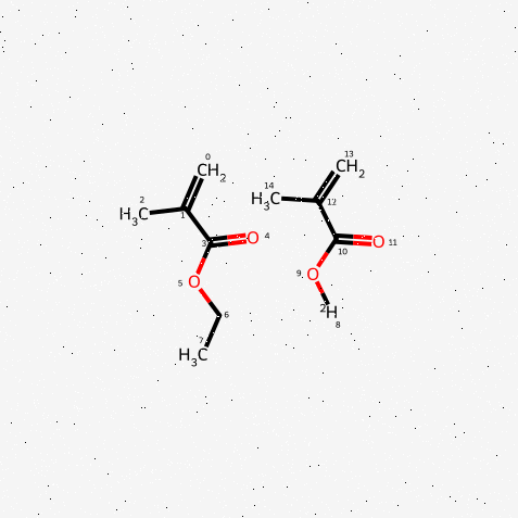 C=C(C)C(=O)OCC.[2H]OC(=O)C(=C)C